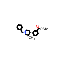 COC(=O)c1cccc([C@H]2CCN(Cc3ccccc3)C[C@@H]2C)c1